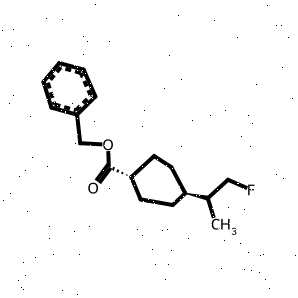 CC(CF)[C@H]1CC[C@H](C(=O)OCc2ccccc2)CC1